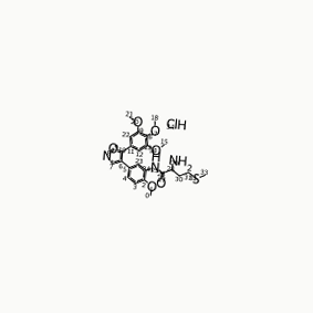 COc1ccc(-c2cnoc2-c2cc(OC)c(OC)c(OC)c2)cc1NC(=O)C(N)CCSC.Cl